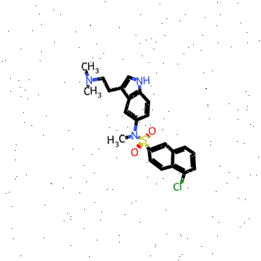 CN(C)CCc1c[nH]c2ccc(N(C)S(=O)(=O)c3ccc4c(Cl)cccc4c3)cc12